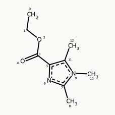 CCOC(=O)c1nc(C)n(C)c1C